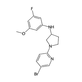 COc1cc(F)cc(NC2CCN(c3ccc(Br)cn3)C2)c1